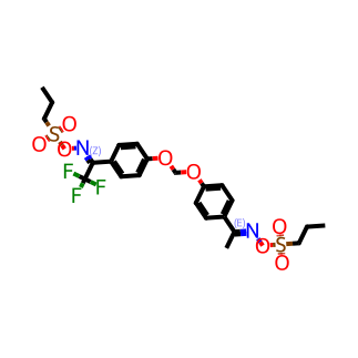 CCCS(=O)(=O)O/N=C(/c1ccc(OCOc2ccc(/C(C)=N/OS(=O)(=O)CCC)cc2)cc1)C(F)(F)F